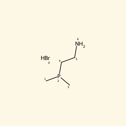 Br.CP(C)CCN